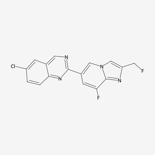 FCc1cn2cc(-c3ncc4cc(Cl)ccc4n3)cc(F)c2n1